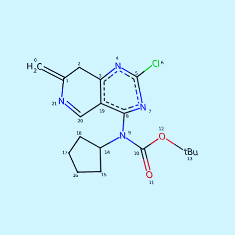 C=C1Cc2nc(Cl)nc(N(C(=O)OC(C)(C)C)C3CCCC3)c2C=N1